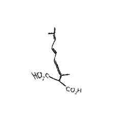 CC(C)=CC=CC=C(C)C(C(=O)O)C(=O)O